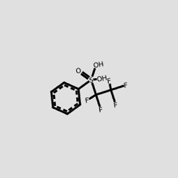 O=S(O)(O)(c1ccccc1)C(F)(F)C(F)(F)F